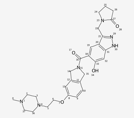 CN1CCN(CCOc2ccc3c(c2)CN(C(=O)c2cc4c(CN5CCCC5=O)n[nH]c4cc2O)C3)CC1